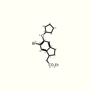 CCOC(=O)CC1CCc2cc(OC3CCCC3)c(Br)cc21